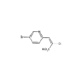 CCC(=Cc1ccc(Br)cn1)C(=O)O